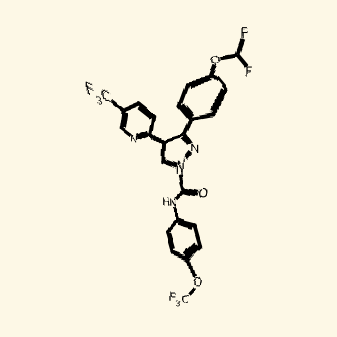 O=C(Nc1ccc(OC(F)(F)F)cc1)N1CC(c2ccc(C(F)(F)F)cn2)C(c2ccc(OC(F)F)cc2)=N1